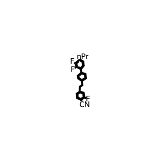 CCCc1ccc(-c2ccc(CCc3ccc(C#N)c(F)c3)cc2)c(F)c1F